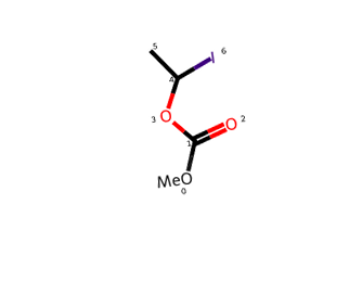 COC(=O)OC(C)I